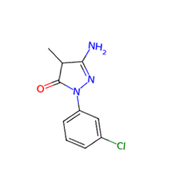 CC1C(=O)N(c2cccc(Cl)c2)N=C1N